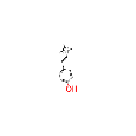 C[Si](C)(C)C=Cc1ccc(O)cc1